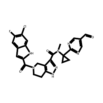 CN(C(=O)c1n[nH]c2c1CN(C(=O)c1cc3cc(F)c(Cl)cc3[nH]1)CC2)C1(c2ncc(C=O)cn2)CC1